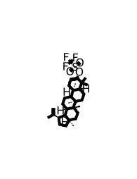 C=C(C)[C@@H]1CC[C@]2(C)CC[C@]3(C)[C@H](CC[C@@H]4[C@@]5(C)CC=C(OS(=O)(=O)C(F)(F)F)C(C)(C)[C@@H]5CC[C@]43C)[C@@H]12